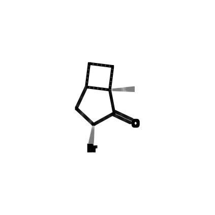 C[C@@]12CCC1C[C@@H](Br)C2=O